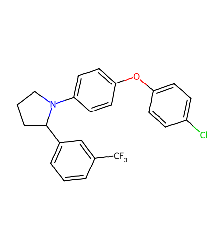 FC(F)(F)c1cccc(C2CCCN2c2ccc(Oc3ccc(Cl)cc3)cc2)c1